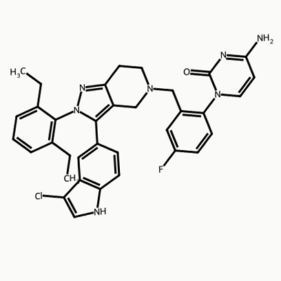 CCc1cccc(CC)c1-n1nc2c(c1-c1ccc3[nH]cc(Cl)c3c1)CN(Cc1cc(F)ccc1-n1ccc(N)nc1=O)CC2